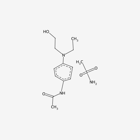 CCN(CCO)c1ccc(NC(C)=O)cc1.CS(N)(=O)=O